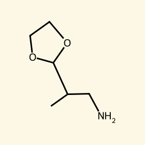 CC(CN)C1OCCO1